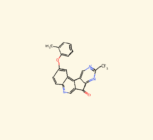 Cc1ccccc1Oc1ccc2ncc3c(c2c1)-c1cnc(C(F)(F)F)nc1C3=O